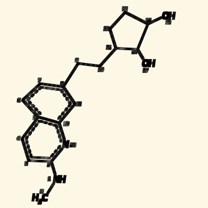 CNc1ccc2ccc(CCC3CCC(O)C3O)cc2n1